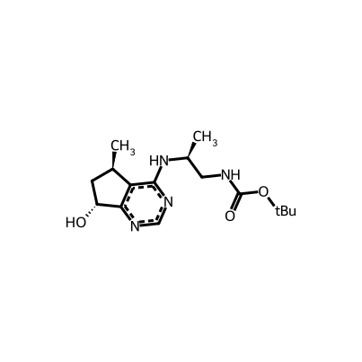 C[C@@H]1C[C@@H](O)c2ncnc(N[C@@H](C)CNC(=O)OC(C)(C)C)c21